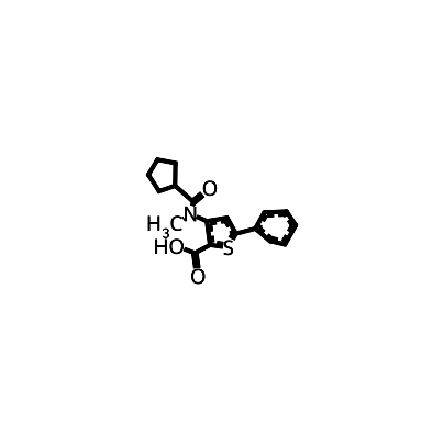 CN(C(=O)C1CCCC1)c1cc(-c2ccccc2)sc1C(=O)O